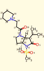 CC(C)C1C(=O)N(S(C)(=O)=O)[C@H]2CCN(C(=O)CCN3CCCCC3)[C@H]12